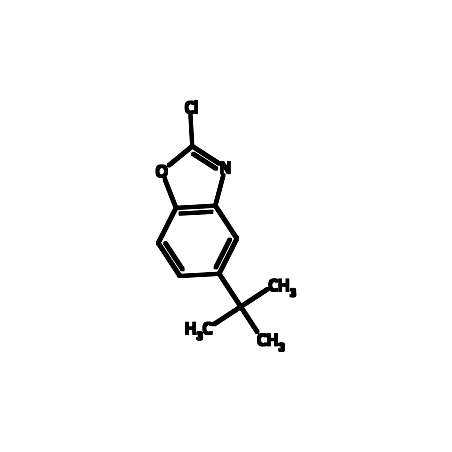 CC(C)(C)c1ccc2oc(Cl)nc2c1